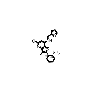 Cc1c([C@@H]2CC=CC[C@H]2N)sc2c(NCc3ccco3)cc(Cl)nc12